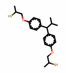 CC(S)COc1ccc(C(c2ccc(OCC(C)S)cc2)C(C)C)cc1